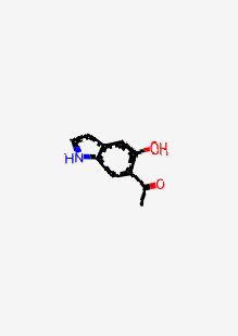 CC(=O)c1cc2[nH]ccc2cc1O